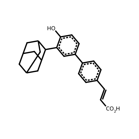 O=C(O)C=Cc1ccc(-c2ccc(O)c(C3C4CC5CC(C4)CC3C5)c2)cc1